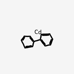 [Cd].c1ccc(-c2ccccc2)cc1